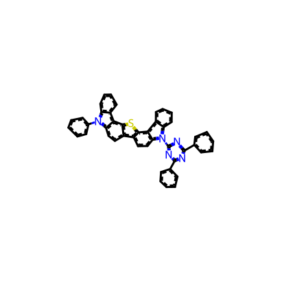 c1ccc(-c2nc(-c3ccccc3)nc(-n3c4ccccc4c4c5sc6c(ccc7c6c6ccccc6n7-c6ccccc6)c5ccc43)n2)cc1